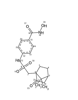 CC1(C)C2CCC1(CS(=O)(=O)Nc1ccc(C(=O)NO)cc1)C(=O)C2